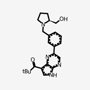 CC(C)(C)C(=O)c1c[nH]c2ncc(-c3cccc(CN4CCC[C@H]4CO)c3)nc12